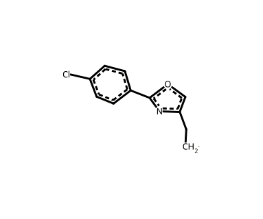 [CH2]Cc1coc(-c2ccc(Cl)cc2)n1